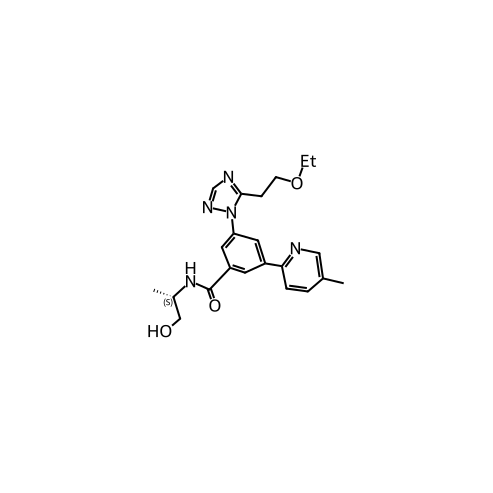 CCOCCc1ncnn1-c1cc(C(=O)N[C@@H](C)CO)cc(-c2ccc(C)cn2)c1